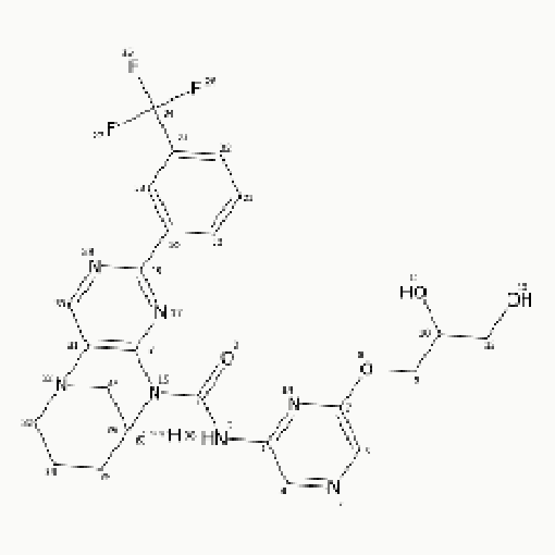 O=C(Nc1cncc(OCC(O)CO)n1)N1c2nc(-c3cccc(C(F)(F)F)c3)ncc2N2CCC[C@H]1C2